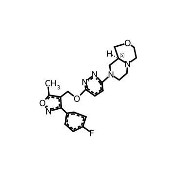 Cc1onc(-c2ccc(F)cc2)c1COc1ccc(N2CCN3CCOC[C@@H]3C2)nn1